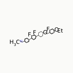 C/C=C/c1ccc(-c2ccc(C3CCC(OCc4ccc(OCC)cc4F)CC3)c(F)c2F)cc1